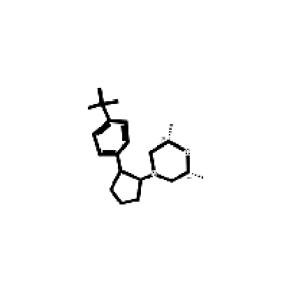 C[C@@H]1CN(C2CCCC2c2ccc(C(C)(C)C)cc2)C[C@H](C)O1